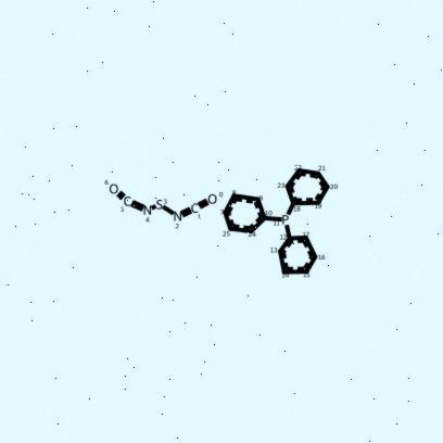 O=C=NSN=C=O.c1ccc(P(c2ccccc2)c2ccccc2)cc1